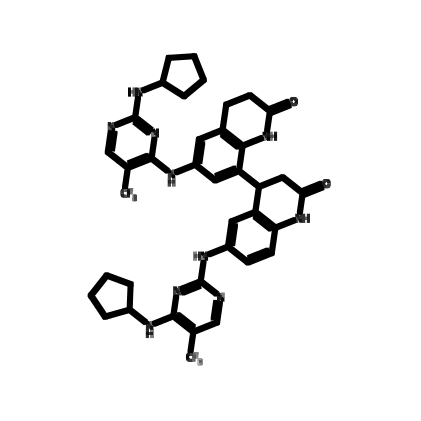 O=C1CC(c2cc(Nc3nc(NC4CCCC4)ncc3C(F)(F)F)cc3c2NC(=O)CC3)c2cc(Nc3ncc(C(F)(F)F)c(NC4CCCC4)n3)ccc2N1